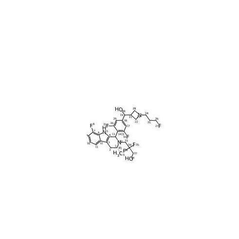 C[C@@H]1Cc2c([nH]c3c(F)cccc23)C(c2c(F)cc(C(O)C3CN(CCCF)C3)cc2F)N1CC(F)(F)CO